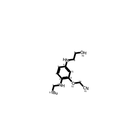 CC(C)(C)CNc1ccc(NCCO)cc1OCC#N